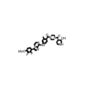 COc1ccc(-c2cnc3c(Nc4ccc(C(=O)N5CCN(C(=O)[C@@H]6CCNC[C@@H]6O)CC5)c(C)c4)nccn23)c(F)c1F